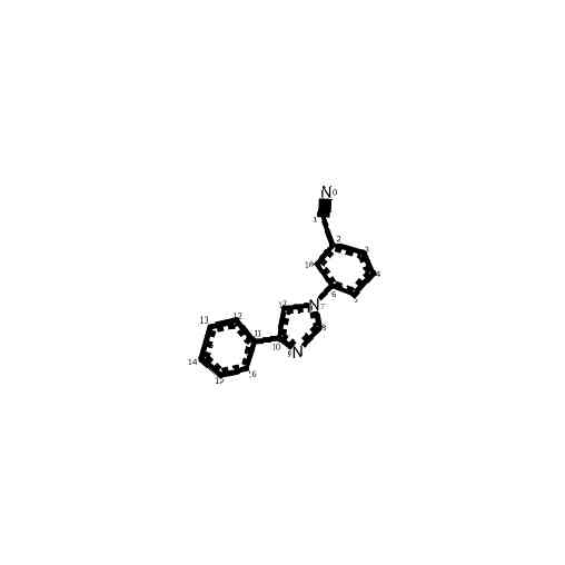 N#Cc1cccc(-n2cnc(-c3ccccc3)c2)c1